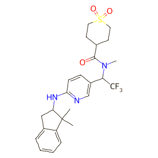 CN(C(=O)C1CCS(=O)(=O)CC1)C(c1ccc(NC2Cc3ccccc3C2(C)C)nc1)C(F)(F)F